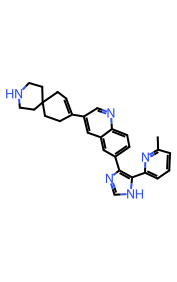 Cc1cccc(-c2[nH]cnc2-c2ccc3ncc(C4=CCC5(CCNCC5)CC4)cc3c2)n1